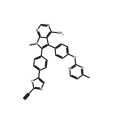 C#Cc1ncc(-c2ccc(-c3c(-c4ccc(Oc5nccc(C)n5)cc4)c4c(N)ncnc4n3C)cc2)o1